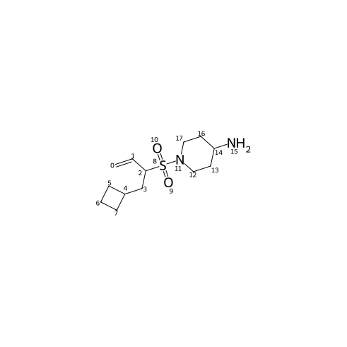 C=CC(CC1CCC1)S(=O)(=O)N1CCC(N)CC1